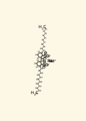 CCCCCCCCCCCCc1cccc(Oc2cccc(CCCCCCCCCCCC)c2S(=O)(=O)[O-])c1S(=O)(=O)[O-].[Na+].[Na+]